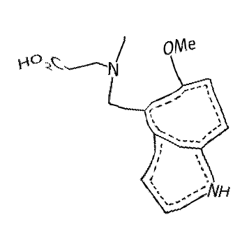 COc1ccc2[nH]ccc2c1CN(C)C(=O)O